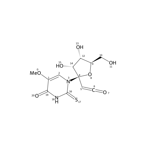 COc1cn([C@]2(C=C=O)O[C@H](CO)[C@@H](O)[C@H]2O)c(=S)[nH]c1=O